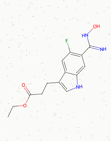 CCOC(=O)CCc1c[nH]c2cc(C(=N)NO)c(F)cc12